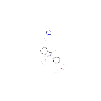 CC(C)OC(=O)Nc1ccc(-c2c(N)c3cc(OCCn4ccnc4)ccc3n2C2CCC2)cc1